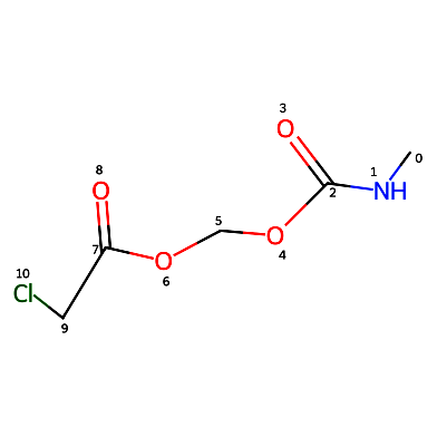 CNC(=O)OCOC(=O)CCl